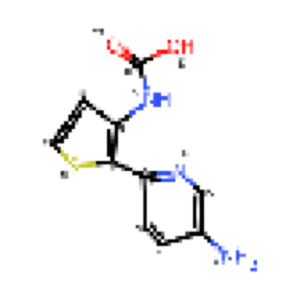 Nc1ccc(-c2sccc2NC(=O)O)nc1